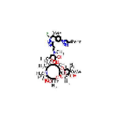 CCCC(C)c1cn(-c2ccc([C@@H](OC)[C@@H](CF)n3cc(CCN(C)[C@H]4C[C@@H](C)O[C@@H](O[C@@H]5[C@@H](C)[C@H](O[C@H]6C[C@@](C)(OC)[C@@H](O)[C@H](C)O6)[C@@H](C)C(=O)O[C@H](CC)[C@@](C)(O)[C@H](O)[C@@H](C)N(C)C[C@H](C)C[C@@]5(C)O)[C@@H]4O)nn3)cc2)nn1